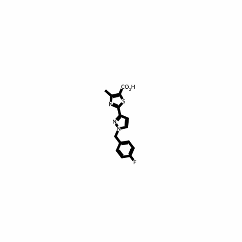 Cc1nc(-c2ccn(Cc3ccc(F)cc3)n2)sc1C(=O)O